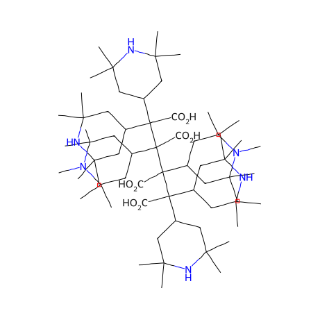 CN1C(C)(C)CC(C(C(=O)O)(C(C(=O)O)(C2CC(C)(C)NC(C)(C)C2)C2CC(C)(C)NC(C)(C)C2)C(C(=O)O)(C2CC(C)(C)N(C)C(C)(C)C2)C(C(=O)O)(C2CC(C)(C)NC(C)(C)C2)C2CC(C)(C)NC(C)(C)C2)CC1(C)C